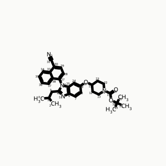 CC(C)Cc1nc2ccc(OC3CCN(C(=O)OC(C)(C)C)CC3)cc2n1-c1ccc(C#N)c2ccccc12